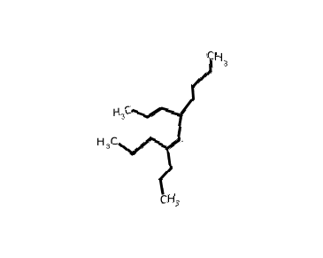 CCCCC([CH]C(CCC)CCC)CCC